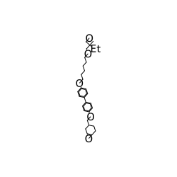 CCC1(COCCCCCCOc2ccc(-c3ccc(OCC4CCC5OC5C4)cc3)cc2)COC1